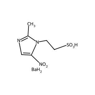 Cc1ncc([N+](=O)[O-])n1CCS(=O)(=O)O.[BaH2]